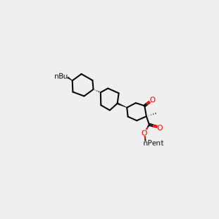 CCCCCOC(=O)[C@@]1(C)CC[C@@H](C2CCC([C@H]3CC[C@H](CCCC)CC3)CC2)CC1=O